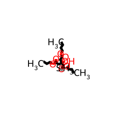 CCCCOC(=O)CC(O)(C(=O)OCCCC)C([SiH3])C(=O)OCCCC